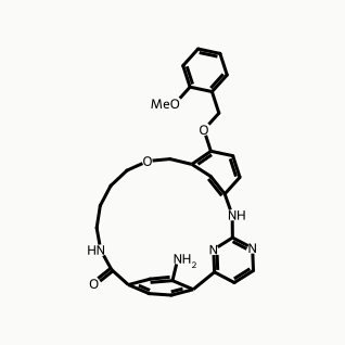 COc1ccccc1COc1ccc2cc1COCCCCNC(=O)c1ccc(c(N)c1)-c1ccnc(n1)N2